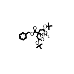 CC(C)(C)OC(=O)CC(N)(CC(=O)OC(C)(C)C)C(=O)OCc1ccccc1